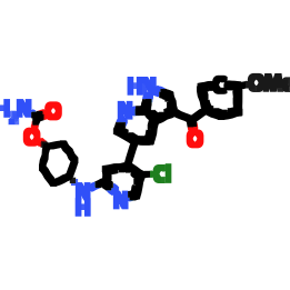 COc1ccc(C(=O)c2c[nH]c3ncc(-c4cc(N[C@H]5CC[C@H](OC(N)=O)CC5)ncc4Cl)cc23)cc1